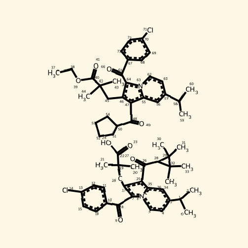 CC(C)c1ccn2c(C(=O)c3ccc(Cl)cc3)c(CC(C)(C)C(=O)O)c(C(=O)C3C(C)(C)C3(C)C)c2c1.CCOC(=O)C(C)(C)Cc1c(C(=O)C2CCCC2)c2cc(C(C)C)ccn2c1C(=O)c1ccc(Cl)cc1